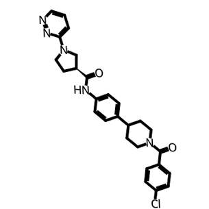 O=C(Nc1ccc(C2CCN(C(=O)c3ccc(Cl)cc3)CC2)cc1)[C@H]1CCN(c2cccnn2)C1